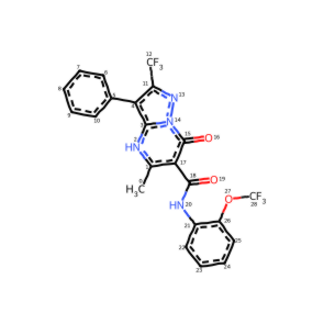 Cc1[nH]c2c(-c3ccccc3)c(C(F)(F)F)nn2c(=O)c1C(=O)Nc1ccccc1OC(F)(F)F